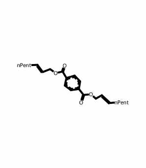 CCCCCC=CCOC(=O)c1ccc(C(=O)OCC=CCCCCC)cc1